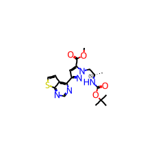 COC(=O)c1cc(-c2ncnc3sccc23)nn1C[C@H](C)NC(=O)OC(C)(C)C